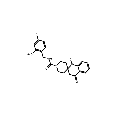 COc1cc(F)ccc1CNC(=O)N1CCC2(CC1)CC(=O)c1ccccc1N2F